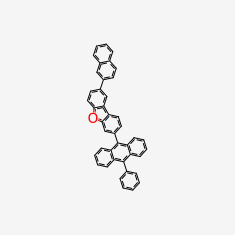 c1ccc(-c2c3ccccc3c(-c3ccc4c(c3)oc3ccc(-c5ccc6ccccc6c5)cc34)c3ccccc23)cc1